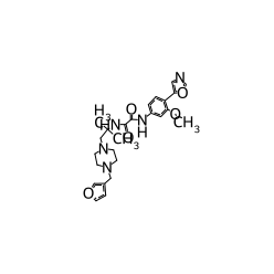 COc1cc(NC(=O)C(=O)NC(C)(C)CN2CCN(Cc3ccoc3)CC2)ccc1-c1cnco1